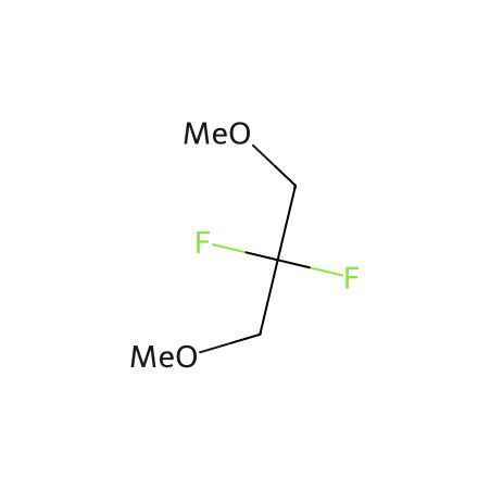 COCC(F)(F)COC